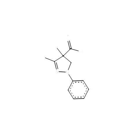 CC1=NN(c2ccccc2)CC1(C)C(=O)O